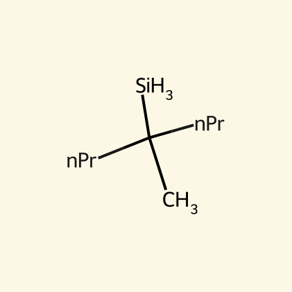 CCCC(C)([SiH3])CCC